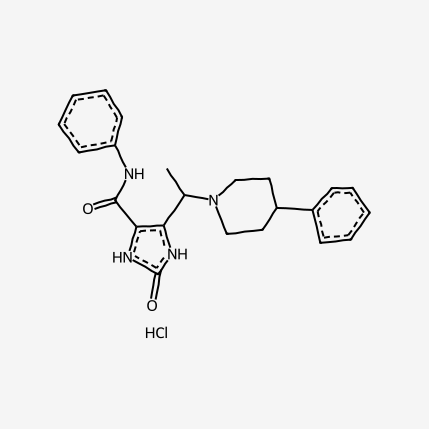 CC(c1[nH]c(=O)[nH]c1C(=O)Nc1ccccc1)N1CCC(c2ccccc2)CC1.Cl